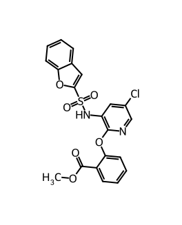 COC(=O)c1ccccc1Oc1ncc(Cl)cc1NS(=O)(=O)c1cc2ccccc2o1